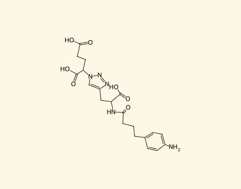 Nc1ccc(CCCC(=O)NC(Cc2cn(C(CCC(=O)O)C(=O)O)nn2)C(=O)O)cc1